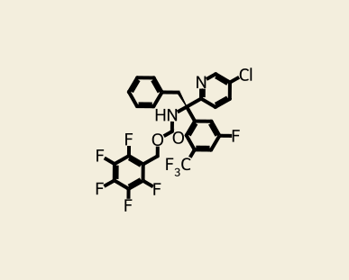 O=C(N[C@@](Cc1ccccc1)(c1cc(F)cc(C(F)(F)F)c1)c1ccc(Cl)cn1)OCc1c(F)c(F)c(F)c(F)c1F